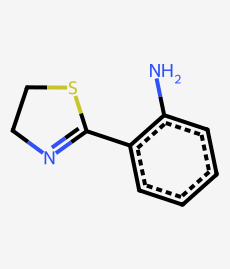 Nc1ccccc1C1=NCCS1